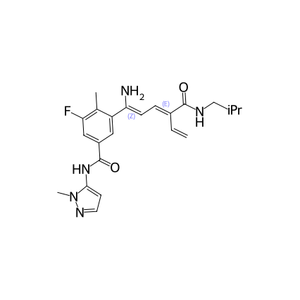 C=C/C(=C\C=C(/N)c1cc(C(=O)Nc2ccnn2C)cc(F)c1C)C(=O)NCC(C)C